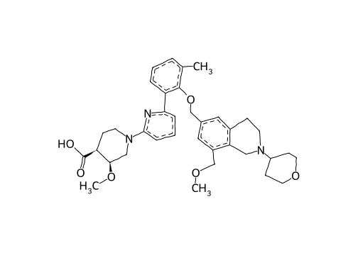 COCc1cc(COc2c(C)cccc2-c2cccc(N3CC[C@H](C(=O)O)[C@H](OC)C3)n2)cc2c1CN(C1CCOCC1)CC2